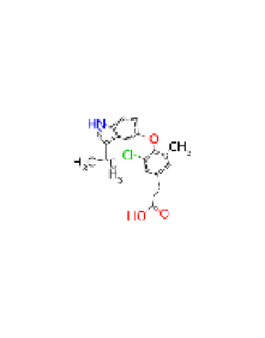 Cc1cc(CCC(=O)O)cc(Cl)c1Oc1ccc2[nH]cc(C(C)C)c2c1